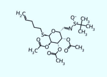 C=CCCCS[C@H]1O[C@H](/C=N/[S@+]([O-])C(C)(C)C)[C@H](OC(C)=O)[C@H](OC(C)=O)[C@H]1OC(C)=O